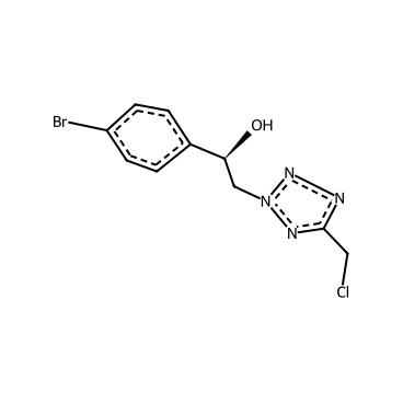 O[C@@H](Cn1nnc(CCl)n1)c1ccc(Br)cc1